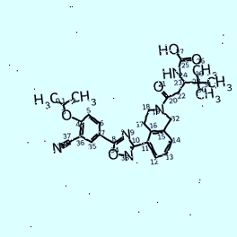 CC(C)Oc1ccc(-c2nc(-c3cccc4c3CCN(C(=O)CC(NC(=O)O)C(C)(C)C)C4)no2)cc1C#N